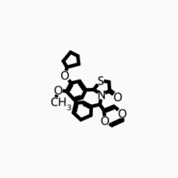 COc1ccc(C2SCC(=O)N2C(C2=CC=CCC2)C2=COC=CO2)cc1OC1CCCC1